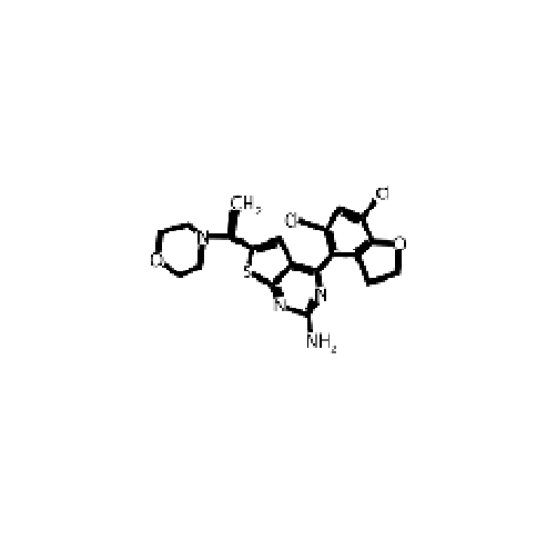 C=C(c1cc2c(-c3c(Cl)cc(Cl)c4c3CCO4)nc(N)nc2s1)N1CCOCC1